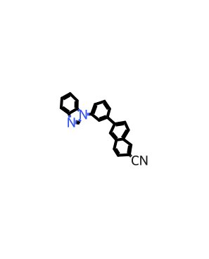 N#Cc1ccc2cc(-c3cccc(-n4cnc5ccccc54)c3)ccc2c1